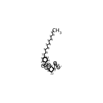 CCCCCCCCCCCCc1ccc(S(=O)(=O)Oc2cccc([N+](=O)[O-])c2)cc1